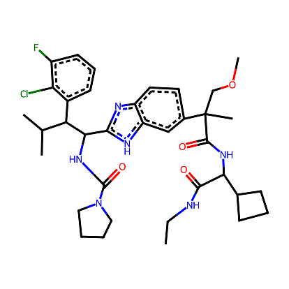 CCNC(=O)C(NC(=O)C(C)(COC)c1ccc2nc(C(NC(=O)N3CCCC3)C(c3cccc(F)c3Cl)C(C)C)[nH]c2c1)C1CCC1